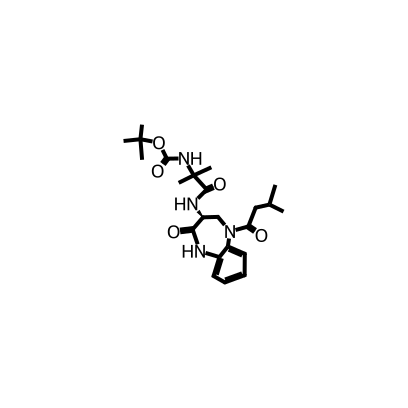 CC(C)CC(=O)N1C[C@H](NC(=O)C(C)(C)NC(=O)OC(C)(C)C)C(=O)Nc2ccccc21